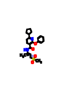 C[C@@H](/C=C/S(C)(=O)=O)NC(=O)c1ccc(C2CCCC2)nc1Oc1ccccc1